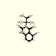 CC(C)(C(=O)O)n1c(=O)[nH]c2cccc(F)c2c1=O